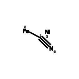 N#[C][Fe].[Ni]